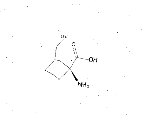 N[C@@]1(C(=O)O)CCC1C[18F]